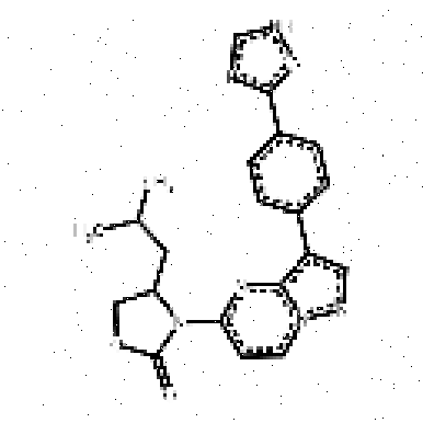 CC(C)CC1COC(=O)N1c1ccn2ncc(-c3ccc(-c4nc[nH]n4)cc3)c2n1